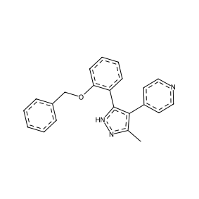 Cc1n[nH]c(-c2ccccc2OCc2ccccc2)c1-c1ccncc1